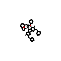 CCCCc1c(C)c(Cc2ccccc2)cc2c1[CH]([Zr]([C]1=CC=CC1)=[C](Cc1ccccc1)Cc1ccccc1)c1cc(C)c(Cc3ccccc3)cc1-2